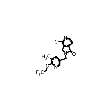 Cc1cc(CN2Cc3c(ccnc3Cl)C2=O)cnc1OCC(F)(F)F